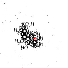 C=C1C[C@@]23CC[C@H]4[C@@](C)(CCC[C@@]4(C)C(=O)NCC(=O)O)[C@@H]2CC[C@]1(O[C@@H]1O[C@H](CO)[C@@H](O)[C@H](O[C@@H]2O[C@H](CO)[C@@H](O)[C@H](O)[C@H]2O)[C@H]1O[C@@H]1O[C@H](CO)[C@@H](O)[C@H](O)[C@H]1O)C3